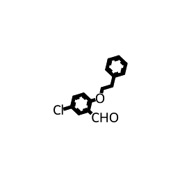 O=Cc1cc(Cl)ccc1OCCc1ccccc1